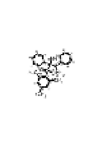 Cc1cc(C)c(S(=O)(=O)C(N)(c2ccccc2)C(N)c2ccccc2)c(C)c1